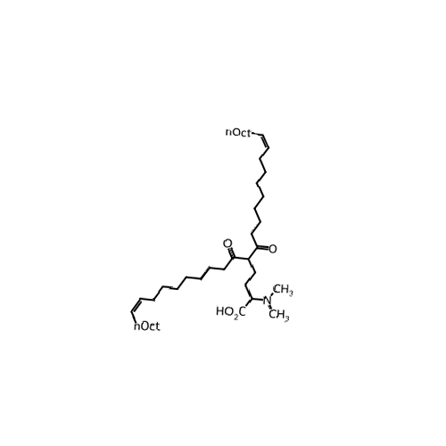 CCCCCCCC/C=C\CCCCCCCC(=O)C(CCC(C(=O)O)N(C)C)C(=O)CCCCCCC/C=C\CCCCCCCC